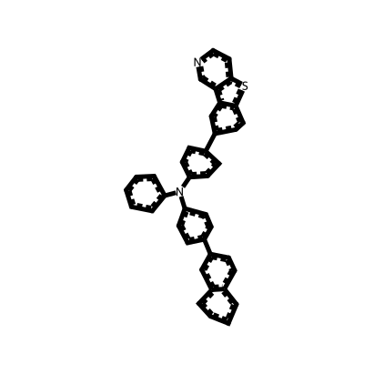 c1ccc(N(c2ccc(-c3ccc4ccccc4c3)cc2)c2ccc(-c3ccc4sc5ccncc5c4c3)cc2)cc1